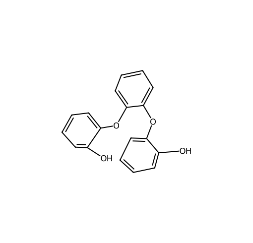 Oc1ccccc1Oc1ccccc1Oc1ccccc1O